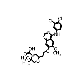 COc1cc2c(Nc3ccc(Cl)c(Cl)c3)ncnc2cc1OCCC1CN(C(=O)O)C(C)(C)CO1